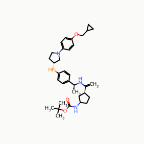 C=C(N[C@@H](C)c1ccc(P[C@@H]2CCN(c3ccc(OCC4CC4)cc3)C2)cc1)[C@H]1CC[C@@H](NC(=O)OC(C)(C)C)C1